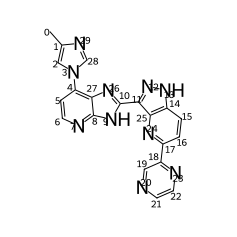 Cc1cn(-c2ccnc3[nH]c(-c4n[nH]c5ccc(-c6cnccn6)nc45)nc23)cn1